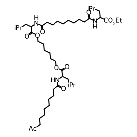 CCOC(=O)C(CC(C)C)NC(=O)CCCCCCCCC(=O)NC(CC(C)C)C(=O)OCCCCCCOC(=O)C(CC(C)C)NC(=O)CCCCCCCCC(C)=O